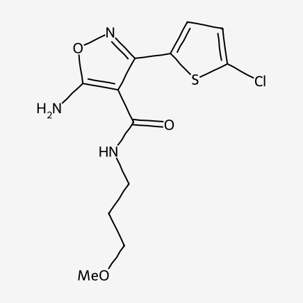 COCCCNC(=O)c1c(-c2ccc(Cl)s2)noc1N